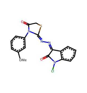 COc1cccc(N2C(=O)CSC2=NN=C2C(=O)N(Cl)c3ccccc32)c1